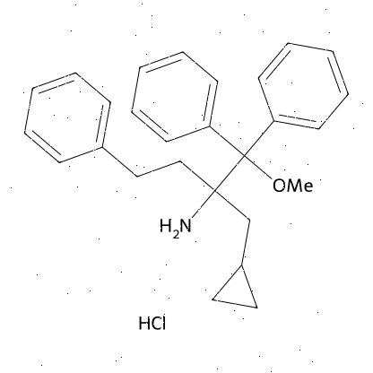 COC(c1ccccc1)(c1ccccc1)C(N)(CCc1ccccc1)CC1CC1.Cl